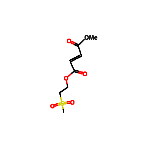 COC(=O)/C=C/C(=O)OCCS(C)(=O)=O